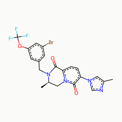 Cc1cn(-c2ccc3n(c2=O)C[C@@H](C)N(Cc2cc(Br)cc(OC(F)(F)F)c2)C3=O)cn1